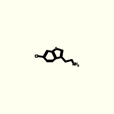 NCCc1csc2cc(Cl)ccc12